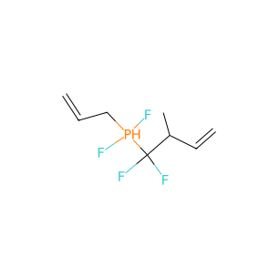 C=CC[PH](F)(F)C(F)(F)C(C)C=C